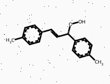 Cc1ccc(C=CC(OO)c2ccc(C)cc2)cc1